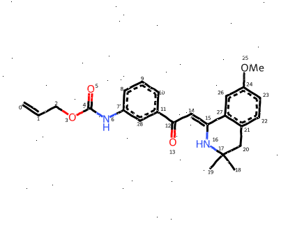 C=CCOC(=O)Nc1cccc(C(=O)/C=C2\NC(C)(C)Cc3ccc(OC)cc32)c1